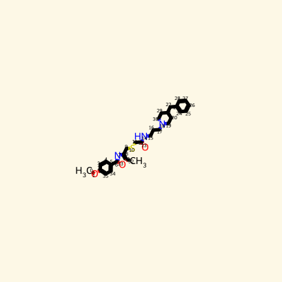 COc1ccc(-c2nc(CSCC(=O)NCCCN3CCC(Cc4ccccc4)CC3)c(C)o2)cc1